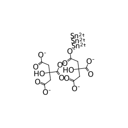 O=C([O-])CC(O)(CC(=O)[O-])C(=O)[O-].O=C([O-])CC(O)(CC(=O)[O-])C(=O)[O-].[Sn+2].[Sn+2].[Sn+2]